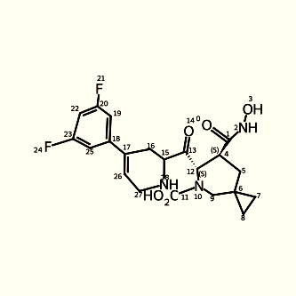 O=C(NO)[C@H]1CC2(CC2)CN(C(=O)O)[C@@H]1C(=O)C1CC(c2cc(F)cc(F)c2)=CCN1